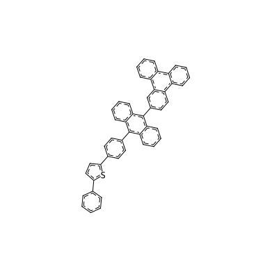 c1ccc(-c2ccc(-c3ccc(-c4c5ccccc5c(-c5ccc6c7ccccc7c7ccccc7c6c5)c5ccccc45)cc3)s2)cc1